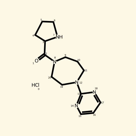 Cl.O=C(C1CCCN1)N1CCCN(c2ncccn2)CC1